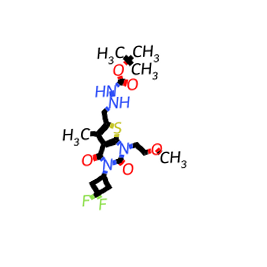 COCCn1c(=O)n(C2CC(F)(F)C2)c(=O)c2c(C)c(CNNC(=O)OC(C)(C)C)sc21